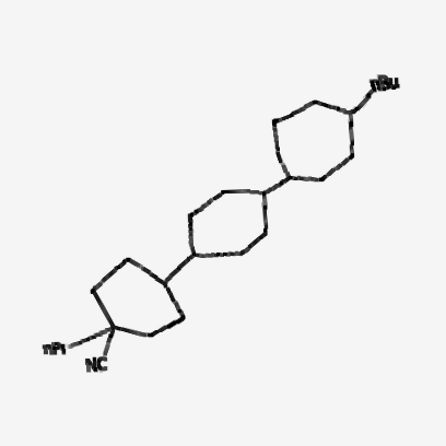 CCCCC1CCC(C2CCC(C3CCC(C#N)(CCC)CC3)CC2)CC1